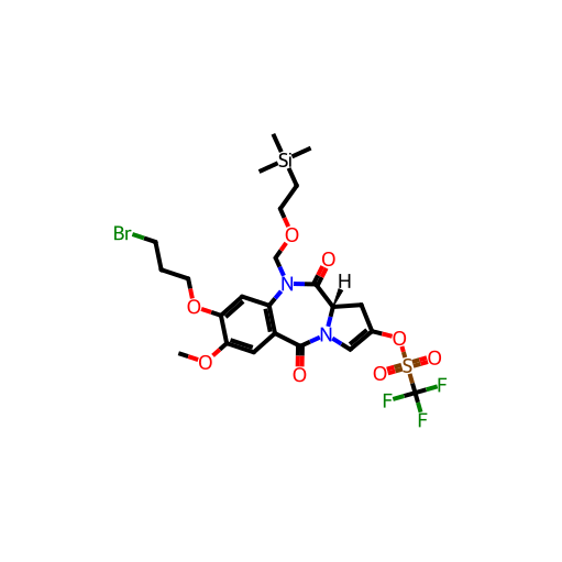 COc1cc2c(cc1OCCCBr)N(COCC[Si](C)(C)C)C(=O)[C@@H]1CC(OS(=O)(=O)C(F)(F)F)=CN1C2=O